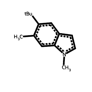 Cc1cc2c(ccn2C)cc1C(C)(C)C